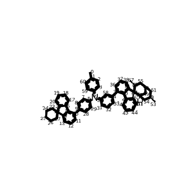 Cc1ccc(N(c2ccc(-c3cccc4c3-c3ccccc3C43CCCCC3)cc2)c2cccc(-c3cccc4c3-c3ccccc3[C@@]43[C@H]4CC(C[C@@H](C)C4)C[C@@H]3C)c2)cc1